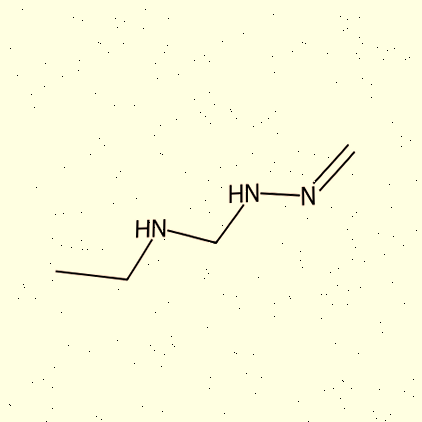 C=NNCNCC